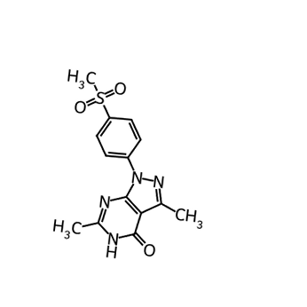 Cc1nc2c(c(C)nn2-c2ccc(S(C)(=O)=O)cc2)c(=O)[nH]1